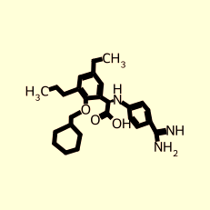 CCCc1cc(CC)cc([C@@H](Nc2ccc(C(=N)N)cc2)C(=O)O)c1OCC1CCCCC1